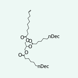 C=CCCCCCCCC(=O)OCC(COC(=O)CCCCCCCCCCCCCCC)OC(=O)CCCCCCCCCCCCCCC